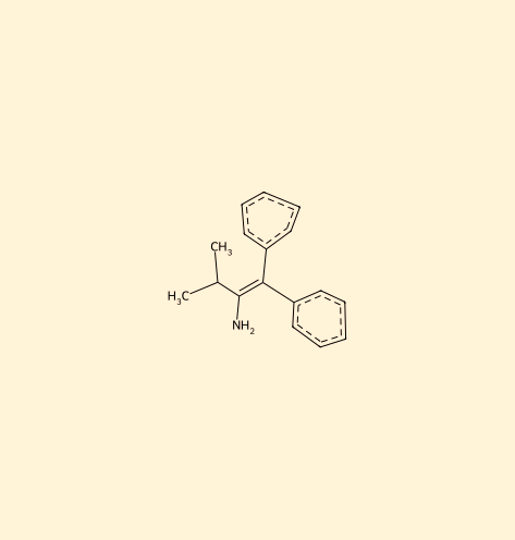 CC(C)C(N)=C(c1ccccc1)c1ccccc1